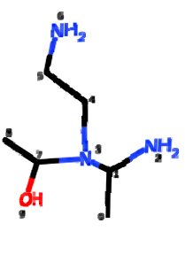 CC(N)N(CCN)C(C)O